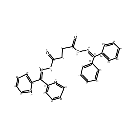 O=C(CCC(=O)ON=C(c1ccccn1)c1ccccn1)ON=C(c1ccccc1)c1ccccc1